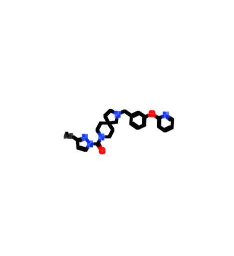 CC(=O)c1ccn(C(=O)N2CCC3(CCN(Cc4cccc(Oc5ccccn5)c4)C3)CC2)n1